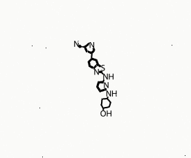 N#Cc1cncc(-c2ccc3nc(Nc4cccc(NC5CCC(O)CC5)n4)sc3c2)c1